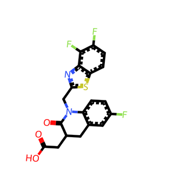 O=C(O)CC1Cc2cc(F)ccc2N(Cc2nc3c(F)c(F)ccc3s2)C1=O